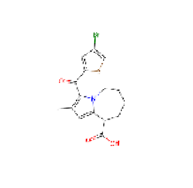 Cc1cc2n(c1C(=O)c1cc(Br)cs1)CCCCC2C(=O)O